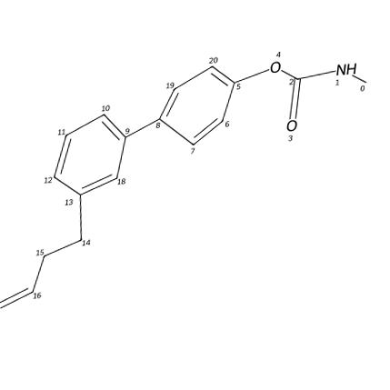 CNC(=O)Oc1ccc(-c2cccc(CCC=O)c2)cc1